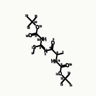 CSC(=NC(=O)C(C)NC(=O)OC(C)(C)C)NC(=O)OC(C)(C)C